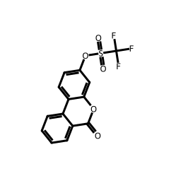 O=c1oc2cc(OS(=O)(=O)C(F)(F)F)ccc2c2ccccc12